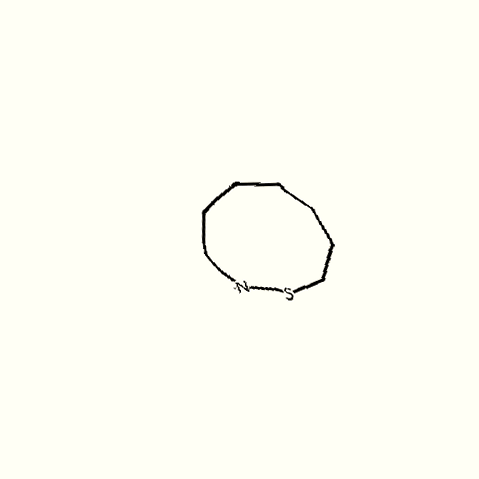 C1CCC[N]SCCC1